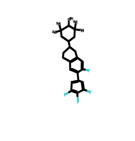 [2H]C1([2H])CC(C2CCc3cc(-c4cc(F)c(F)c(F)c4)c(F)cc3C2)CC([2H])([2H])C1CCC